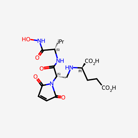 CC(C)[C@H](NC(=O)[C@H](CN[C@H](CCC(=O)O)C(=O)O)N1C(=O)C=CC1=O)C(=O)NO